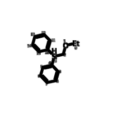 CCOC[SiH](c1ccccc1)c1ccccc1